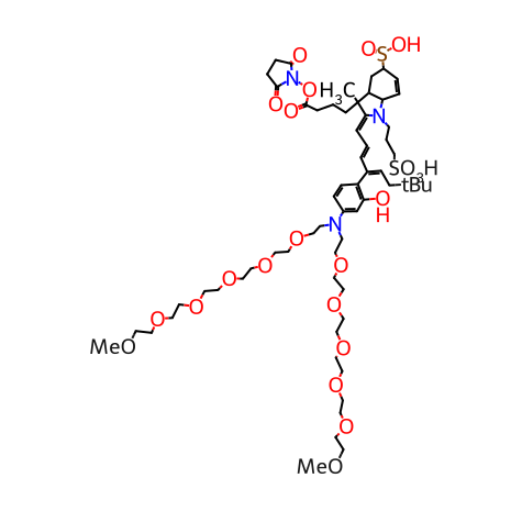 COCCOCCOCCOCCOCCOCCN(CCOCCOCCOCCOCCOCCOC)c1ccc(C(=C\CC(C)(C)C)/C=C/C=C2\N(CCCS(=O)(=O)O)C3C=CC(S(=O)O)CC3C2(C)CCCC(=O)ON2C(=O)CCC2=O)c(O)c1